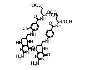 Nc1nc2c(c(=O)[nH]1)NC(CNc1ccc(C(=O)NC(CCC(=O)[O-])C(=O)O)cc1)CN2.Nc1nc2c(c(=O)[nH]1)NC(CNc1ccc(C(=O)NC(CCC(=O)[O-])C(=O)O)cc1)CN2.[Ca+2]